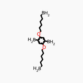 BCCCCCCOc1cc(B)c(OCCCCCCB)cc1B